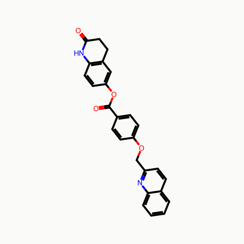 O=C1CCc2cc(OC(=O)c3ccc(OCc4ccc5ccccc5n4)cc3)ccc2N1